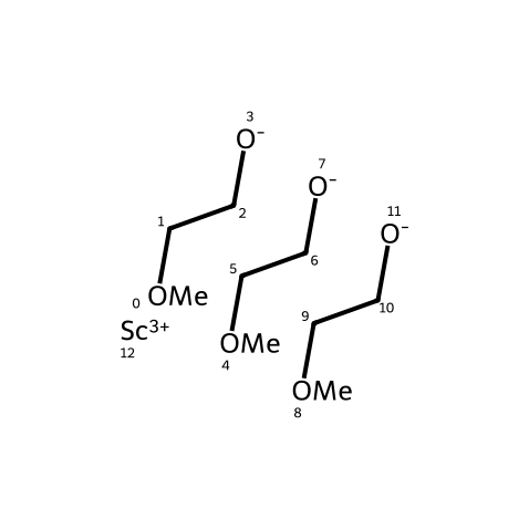 COCC[O-].COCC[O-].COCC[O-].[Sc+3]